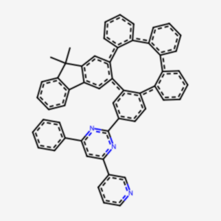 CC1(C)c2ccccc2-c2cc3c4cc(-c5nc(-c6ccccc6)cc(-c6cccnc6)n5)ccc4c4ccccc4c4ccccc4c4ccccc4c3cc21